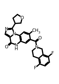 Cc1cc2c(cc1C(=O)N1CCc3c(F)ccc(F)c3C1)[nH]c(=O)c1cnc(C3CCOC3)n12